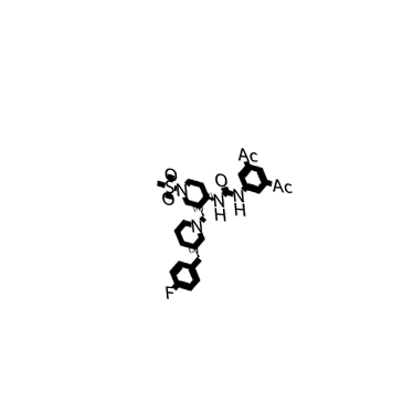 CC(=O)c1cc(NC(=O)N[C@@H]2CCN(S(C)(=O)=O)C[C@H]2CN2CCC[C@@H](Cc3ccc(F)cc3)C2)cc(C(C)=O)c1